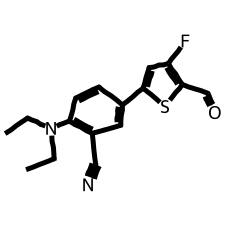 CCN(CC)c1ccc(-c2cc(F)c(C=O)s2)cc1C#N